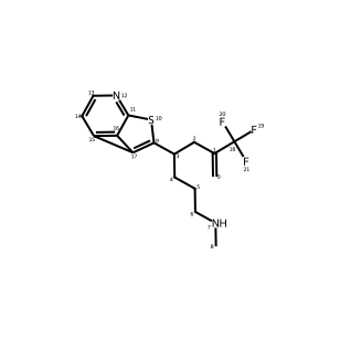 C=C(CC(CCCNC)c1sc2nccc3c2c1-3)C(F)(F)F